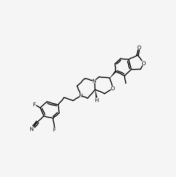 Cc1c([C@@H]2CN3CCN(CCc4cc(F)c(C#N)c(F)c4)C[C@H]3CO2)ccc2c1COC2=O